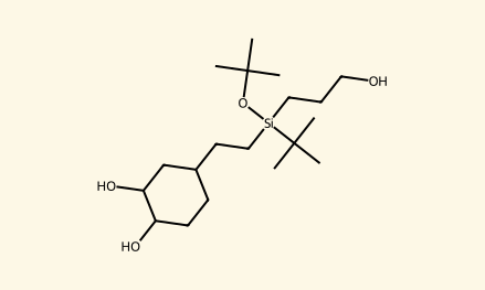 CC(C)(C)O[Si](CCCO)(CCC1CCC(O)C(O)C1)C(C)(C)C